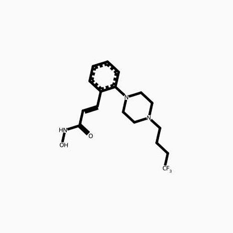 O=C(C=Cc1ccccc1N1CCN(CCCC(F)(F)F)CC1)NO